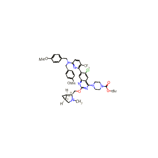 COc1ccc(CN(Cc2ccc(OC)cc2)c2ccc(C(F)(F)F)c(-c3cc4nc(OC[C@@H]5[C@@H]6C[C@@H]6CN5C)nc(N5CCN(C(=O)OC(C)(C)C)CC5)c4cc3Cl)n2)cc1